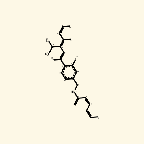 C=C(/C=C\C=C/C)NCc1ccc(/C(=C/C(=C(C)/C=C\C)C(CC)CCC)CC)c(F)c1